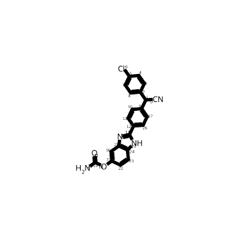 N#CC(c1ccc(Cl)cc1)c1ccc(-c2nc3cc(OC(N)=O)ccc3[nH]2)cc1